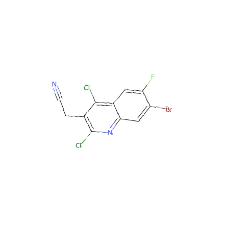 N#CCc1c(Cl)nc2cc(Br)c(F)cc2c1Cl